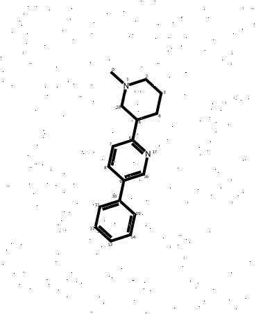 CN1CCCC(c2ccc(-c3ccccc3)cn2)C1